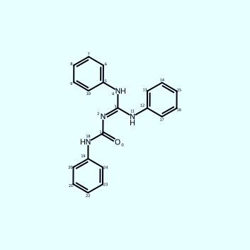 O=C(N=C(Nc1ccccc1)Nc1ccccc1)Nc1ccccc1